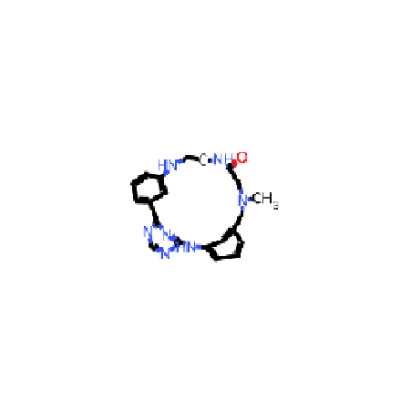 CN1CC(=O)NCCNc2cccc(c2)-c2ncnc(n2)Nc2cccc(c2)C1